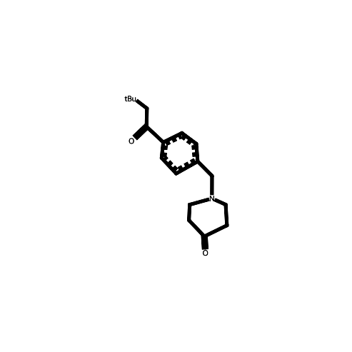 CC(C)(C)CC(=O)c1ccc(CN2CCC(=O)CC2)cc1